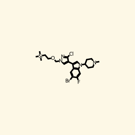 CN1CCC(n2cc(-c3cn(COCC[Si](C)(C)C)nc3Cl)c3cc(Br)c(F)cc32)CC1